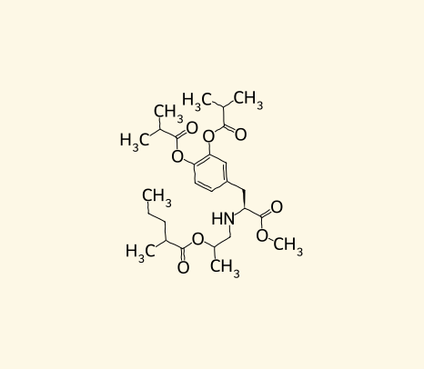 CCCC(C)C(=O)OC(C)CN[C@@H](Cc1ccc(OC(=O)C(C)C)c(OC(=O)C(C)C)c1)C(=O)OC